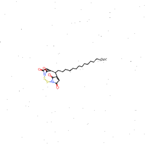 CCCCCCCCCCCCCCCCCCCCCCCC1C2=CC(=O)N(SSN3C(=O)C=C1C3=O)C2=O